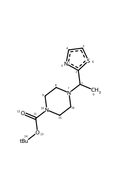 CC(c1nccs1)N1CCN(C(=O)OC(C)(C)C)CC1